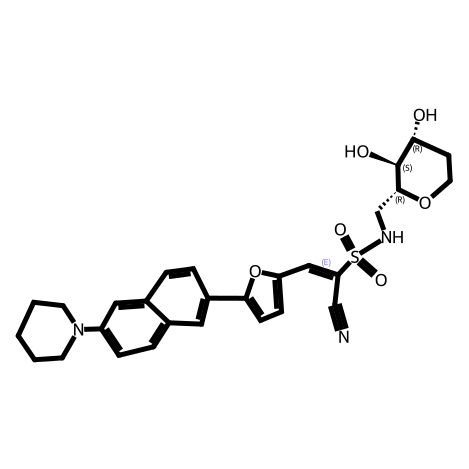 N#C/C(=C\c1ccc(-c2ccc3cc(N4CCCCC4)ccc3c2)o1)S(=O)(=O)NC[C@H]1OCC[C@@H](O)[C@@H]1O